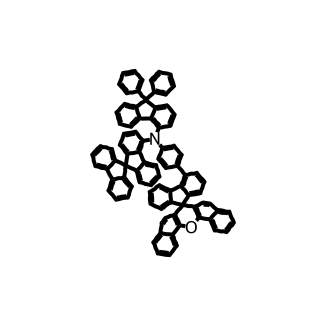 c1ccc(C2(c3ccccc3)c3ccccc3-c3c(N(c4ccc(-c5cccc6c5-c5ccccc5C65c6ccc7ccccc7c6Oc6c5ccc5ccccc65)cc4)c4cccc5c4-c4ccccc4C54c5ccccc5-c5ccccc54)cccc32)cc1